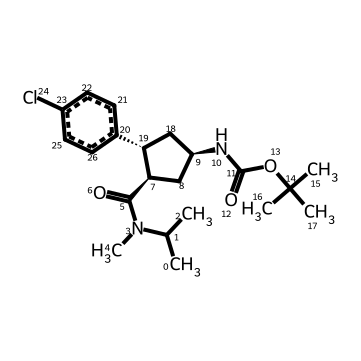 CC(C)N(C)C(=O)[C@@H]1C[C@H](NC(=O)OC(C)(C)C)C[C@H]1c1ccc(Cl)cc1